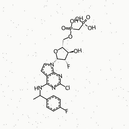 CC(Nc1nc(Cl)nc2c1ccn2[C@@H]1O[C@H](COP(=O)(O)CP(=O)(O)O)[C@@H](O)[C@@H]1F)c1ccc(F)cc1